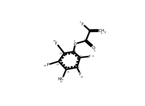 C=C(F)C(=O)Oc1c(F)c(F)c(C#N)c(F)c1F